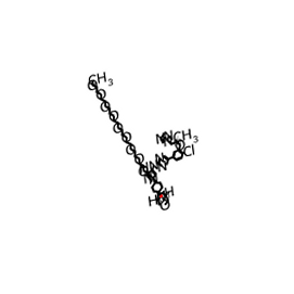 COCCOCCOCCOCCOCCOCCOCCOCCOc1nn(C2CCC(N3[C@@H]4CC[C@H]3COC4)CC2)cc1Nc1ncc(-c2ccc(Cl)c(O[C@@H](C)Cn3cncn3)c2)cn1